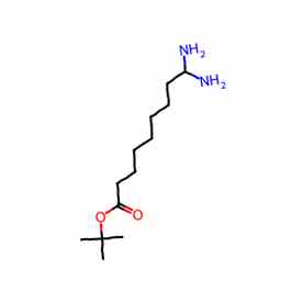 CC(C)(C)OC(=O)CCCCCCCC(N)N